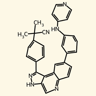 CC(C)(C#N)c1ccc(-c2n[nH]c3cnc4ccc(-c5cccc(Nc6ccncc6)c5)cc4c23)cc1